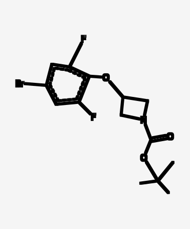 CC(C)(C)OC(=O)N1CC(Oc2c(F)cc(Br)cc2F)C1